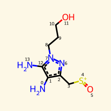 Nc1c(C[S+]=O)nn(CCCO)c1N